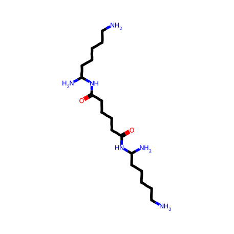 NCCCCCC(N)NC(=O)CCCCC(=O)NC(N)CCCCCN